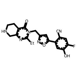 CCc1nc2c(c(=O)n1Cc1cc(-c3cc(O)c(F)cc3C#N)on1)CCNC2